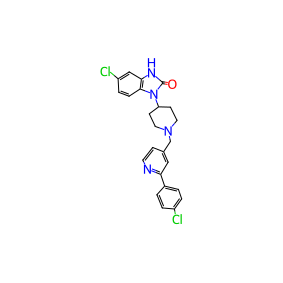 O=c1[nH]c2cc(Cl)ccc2n1C1CCN(Cc2ccnc(-c3ccc(Cl)cc3)c2)CC1